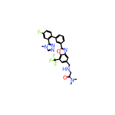 CN(C)C(=O)CNCc1cc(C(F)(F)F)c2oc(-c3cccc(-c4ccc(F)cc4-c4nncn4C)c3)nc2c1